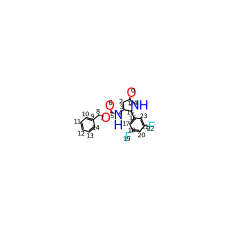 O=C1C[C@H](NC(=O)OCc2ccccc2)C(c2cc(F)cc(F)c2)N1